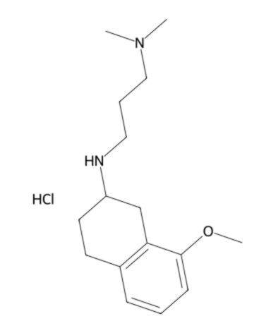 COc1cccc2c1CC(NCCCN(C)C)CC2.Cl